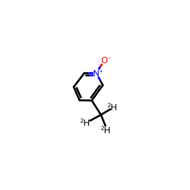 [2H]C([2H])([2H])c1ccc[n+]([O-])c1